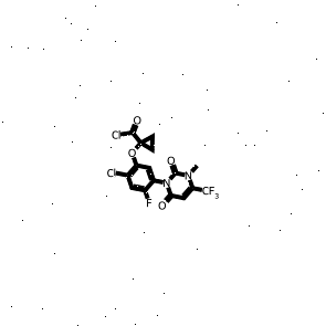 Cn1c(C(F)(F)F)cc(=O)n(-c2cc(OC3(C(=O)Cl)CC3)c(Cl)cc2F)c1=O